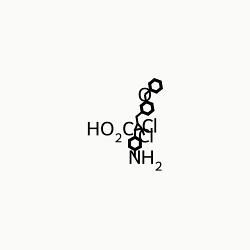 Nc1ccc(C2(C(=O)O)C(Cc3cccc(Oc4ccccc4)c3)C2(Cl)Cl)cc1